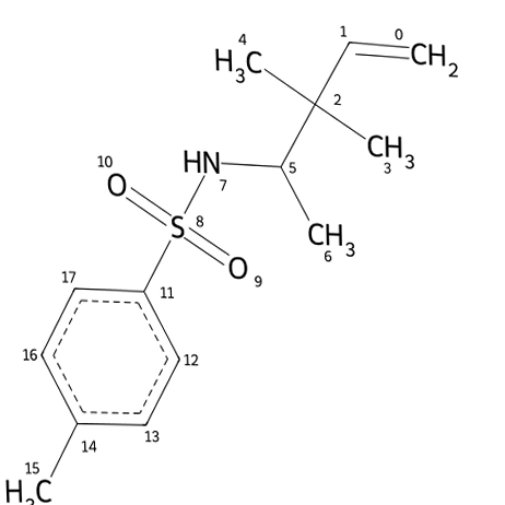 C=CC(C)(C)C(C)NS(=O)(=O)c1ccc(C)cc1